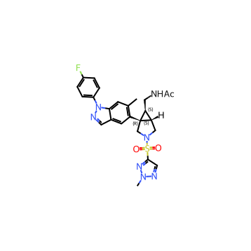 CC(=O)NC[C@H]1[C@@H]2CN(S(=O)(=O)c3cnn(C)n3)C[C@]12c1cc2cnn(-c3ccc(F)cc3)c2cc1C